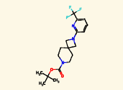 CC(C)(C)OC(=O)N1CCC2(CC1)CN(c1cccc(C(F)(F)F)n1)C2